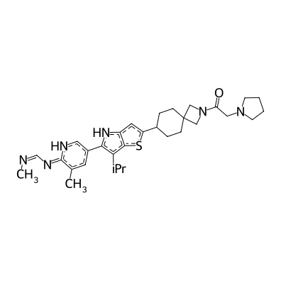 C/N=C\N=c1/[nH]cc(-c2[nH]c3cc(C4CCC5(CC4)CN(C(=O)CN4CCCC4)C5)sc3c2C(C)C)cc1C